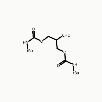 CC(C)(C)NC(=O)OCC(C=O)COC(=O)NC(C)(C)C